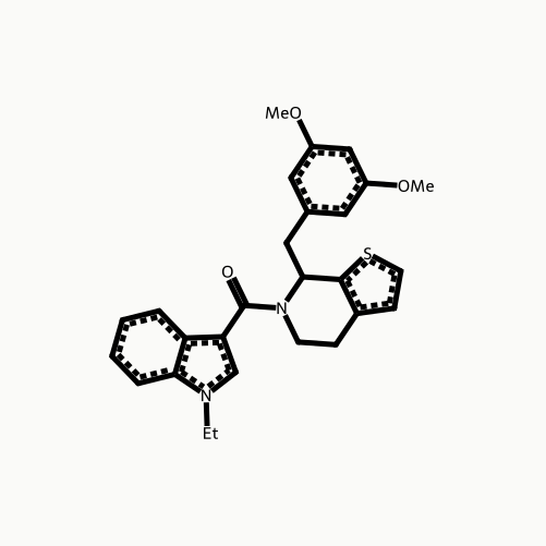 CCn1cc(C(=O)N2CCc3ccsc3C2Cc2cc(OC)cc(OC)c2)c2ccccc21